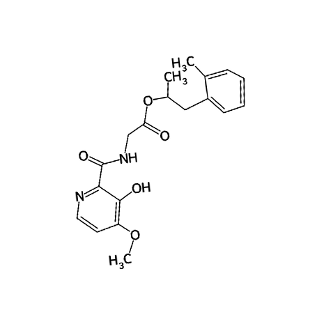 COc1ccnc(C(=O)NCC(=O)OC(C)Cc2ccccc2C)c1O